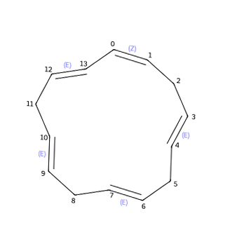 C1=C\C/C=C/C/C=C/C/C=C/C/C=C/1